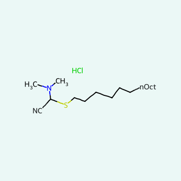 CCCCCCCCCCCCCCSC(C#N)N(C)C.Cl